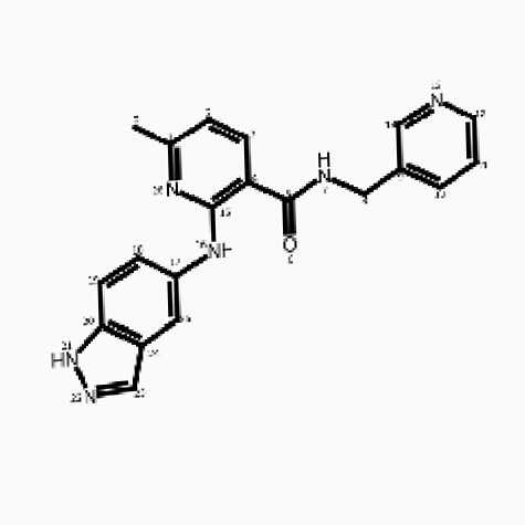 Cc1ccc(C(=O)NCc2cccnc2)c(Nc2ccc3[nH]ncc3c2)n1